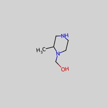 CC1CNCCN1CO